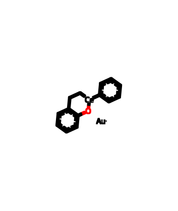 [Au].c1cc[c]([Ce]2[CH2]Cc3ccccc3[O]2)cc1